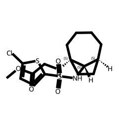 COC(=O)CN[C@@]12CCCC[C@@H](CC1)[C@@H]2NS(=O)(=O)c1ccc(Cl)s1